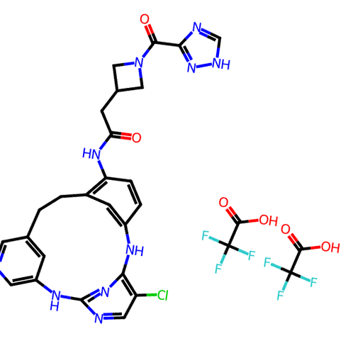 O=C(CC1CN(C(=O)c2nc[nH]n2)C1)Nc1ccc2cc1CCc1cncc(c1)Nc1ncc(Cl)c(n1)N2.O=C(O)C(F)(F)F.O=C(O)C(F)(F)F